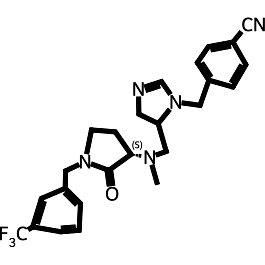 CN(CC1CN=CN1Cc1ccc(C#N)cc1)[C@H]1CCN(Cc2cccc(C(F)(F)F)c2)C1=O